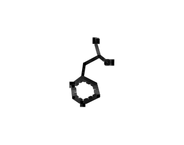 CCC(O)Cc1ccncn1